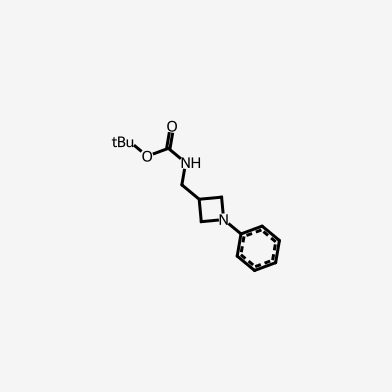 CC(C)(C)OC(=O)NCC1CN(c2ccccc2)C1